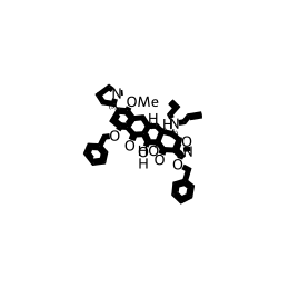 C=CCN(CC=C)[C@@H]1c2onc(OCc3ccccc3)c2C(=O)[C@@]2(O)C(O)=C3C(=O)c4c(OCc5ccccc5)cc([C@@H]5CCCN5C)c(OC)c4C[C@H]3C[C@@H]12